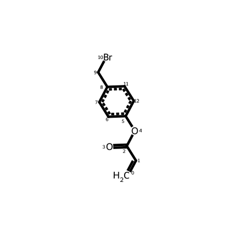 C=CC(=O)Oc1ccc(CBr)cc1